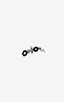 COc1ccc(S(=O)(=O)NOC2CCCCC2)cc1